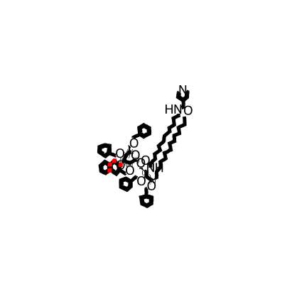 CCCCCCCCCCCCCC[C@@H](OCc1ccccc1)[C@@H](OCc1ccccc1)[C@H](CO[C@H]1O[C@H](COCc2ccccc2)[C@H](OCc2ccccc2)[C@H](OCc2ccccc2)[C@H]1OCc1ccccc1)NC(=O)CCCCCCCCCCCNC(=O)c1ccncc1